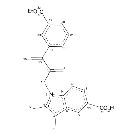 C=C(Cn1c(C)c(C)c2cc(C(=O)O)ccc21)C(=C)c1cccc(C(=O)OCC)c1